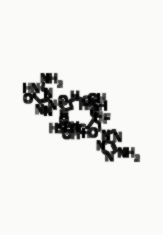 Nc1nc2c(nnn2[C@@H]2O[C@@H]3CO[PH](O)(S)O[C@H]4[C@H](F)[C@H](n5cnc6c(N)ncnc65)O[C@@H]4CO[PH](O)(S)O[C@@H]2C3)c(=O)[nH]1